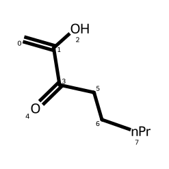 C=C(O)C(=O)CCCCC